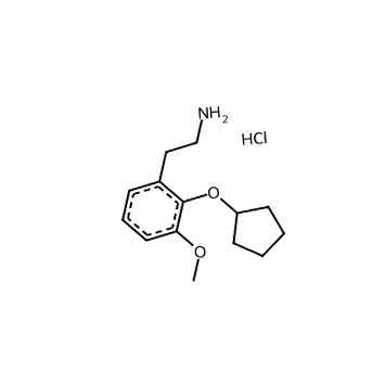 COc1cccc(CCN)c1OC1CCCC1.Cl